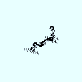 Cc1cc(C(=O)NCc2cc3nc(-c4cccc(N5C[C@@H](C)O[C@@H](C)C5)n4)ccc3cn2)cc(S(=O)(=O)CCOC2CCCCO2)c1C